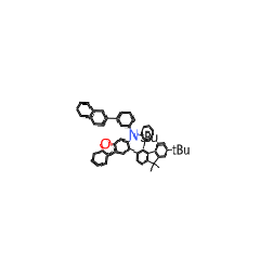 CC(C)(C)c1cc(C(C)(C)C)c2c(c1)C(C)(C)c1ccc3c(c1-2)-c1ccccc1N(c1cccc(-c2ccc4ccccc4c2)c1)c1cc2oc4ccccc4c2cc1-3